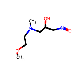 COCCN(C)CC(O)CN=O